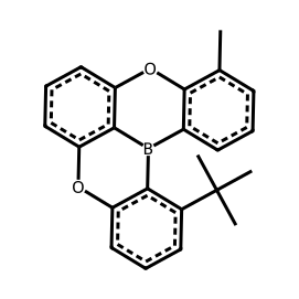 Cc1cccc2c1Oc1cccc3c1B2c1c(cccc1C(C)(C)C)O3